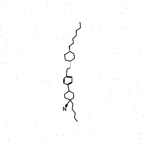 CCCCCCC[C@H]1CC[C@H](CCc2ccc(C3CCC(C#N)(CCCCC)CC3)cc2)CC1